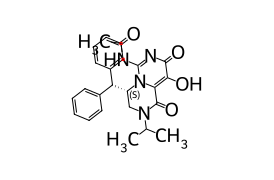 CC(=O)Nc1nc(=O)c(O)c2n1[C@@H](C(c1ccccc1)c1ccccc1)CN(C(C)C)C2=O